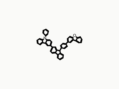 c1ccc(-n2c3ccccc3c3cc(-c4ccc5c(c4)C(c4ccc(-c6ccc7oc8ccccc8c7c6)cc4)c4ccccc4-5)ccc32)cc1